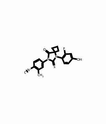 [C-]#[N+]c1ccc(N2C(=O)C3(CCC3)N(c3ccc(O)cc3F)C2=S)cc1C